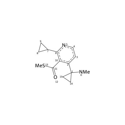 CNC1(c2ccnc(C3CC3)c2C(=O)SC)CC1